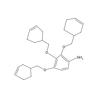 [SiH3]c1ccc(OCC2CC=CCC2)c(OCC2CC=CCC2)c1OCC1CC=CCC1